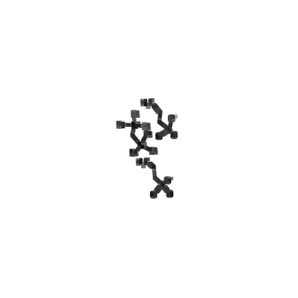 C=CCS(=O)(=O)[O-].C=CCS(=O)(=O)[O-].CC[N+](CC)(CC)C[N+](CC)(CC)CC